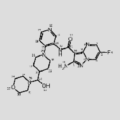 Nc1nn2cc(F)cnc2c1C(=O)Nc1cnccc1N1CCC(C(O)N2CCOCC2)CC1